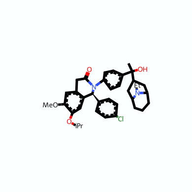 CCN1C2CCCC1CC(C(C)(O)c1ccc(N3C(=O)Cc4cc(OC)c(OC(C)C)cc4[C@@H]3c3ccc(Cl)cc3)cc1)C2